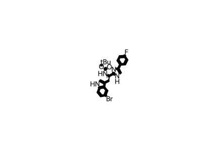 CC(C)(C)OC(=O)N[C@H](Cc1c[nH]c2ccc(Br)cc12)c1nc(-c2ccc(F)cc2)c[nH]1